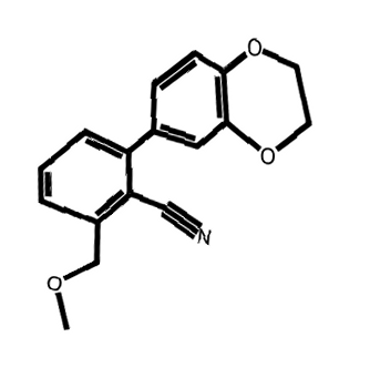 COCc1cccc(-c2ccc3c(c2)OCCO3)c1C#N